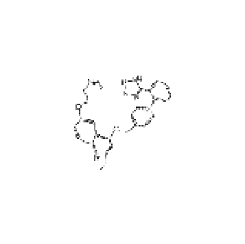 CCc1cc(OCc2ccc(-c3ccccc3-c3nnn[nH]3)cc2)c2cc(OCCN)ccc2n1